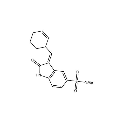 CNS(=O)(=O)c1ccc2c(c1)C(=CC1C=CCCC1)C(=O)N2